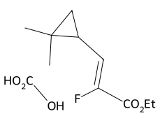 CCOC(=O)C(F)=CC1CC1(C)C.O=C(O)O